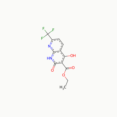 CCOC(=O)c1c(O)c2ccc(C(F)(F)F)nc2[nH]c1=O